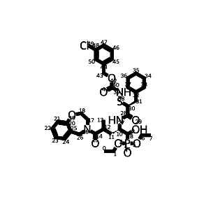 CCOP(=O)(OCC)C(O)[C@H](CC(C)C(=O)N1CCOc2ccccc2C1)NC(=O)[C@H](CC1CCCCC1)SNC(=O)OCc1cccc(Cl)c1